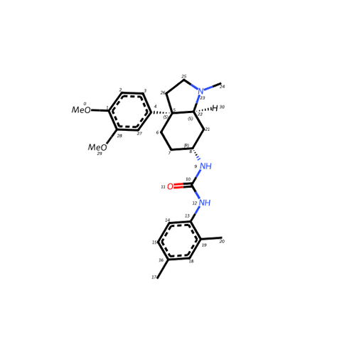 COc1ccc([C@@]23CC[C@@H](NC(=O)Nc4ccc(C)cc4C)C[C@@H]2N(C)CC3)cc1OC